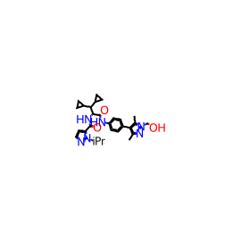 Cc1nn(CO)c(C)c1-c1ccc(NC(=O)C(NC(=O)c2ccnn2C(C)C)C(C2CC2)C2CC2)cc1